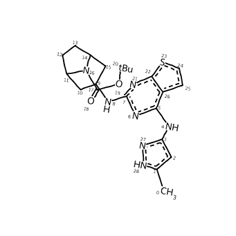 Cc1cc(Nc2nc(NC3CC4CCC(C3)N4C(=O)OC(C)(C)C)nc3sccc23)n[nH]1